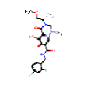 COC[C@H](C)N1CN(C)n2cc(C(=O)NCc3ccc(F)cc3F)c(=O)c(O)c2C1=O